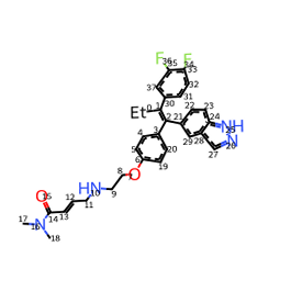 CCC(=C(c1ccc(OCCNCC=CC(=O)N(C)C)cc1)c1ccc2[nH]ncc2c1)c1ccc(F)c(F)c1